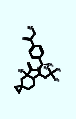 COC(=O)c1ccc([C@H](C)NC(=O)C2(C)CC3(CCN2C(=O)OC(C)(C)C)CC3)cc1